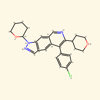 Clc1ccc(-c2c(C3CCOCC3)ncc3cc4c(cnn4C4CCCCO4)cc23)cc1